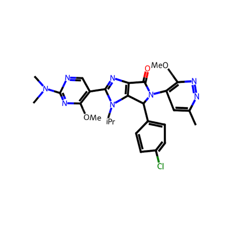 COc1nc(N(C)C)ncc1-c1nc2c(n1C(C)C)C(c1ccc(Cl)cc1)N(c1cc(C)nnc1OC)C2=O